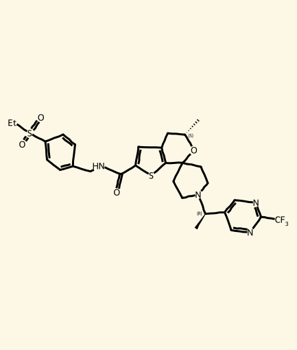 CCS(=O)(=O)c1ccc(CNC(=O)c2cc3c(s2)C2(CCN([C@H](C)c4cnc(C(F)(F)F)nc4)CC2)O[C@@H](C)C3)cc1